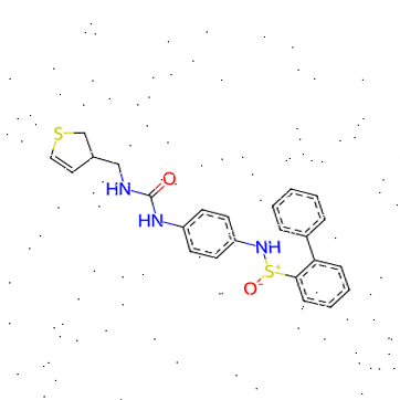 O=C(NCC1C=CSC1)Nc1ccc(N[S+]([O-])c2ccccc2-c2ccccc2)cc1